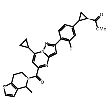 COC(=O)[C@@H]1CC1c1ccc(-c2cc3nc(C(=O)N4CCc5sccc5C4C)cc(C4CC4)n3n2)c(F)c1